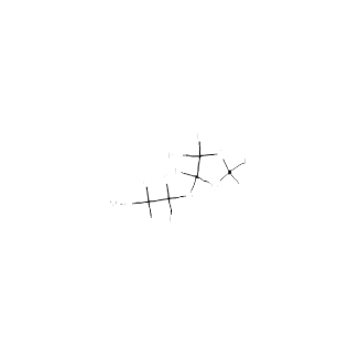 COC(F)(F)C(F)(F)OC1(F)OC(F)(F)OC1(O)F